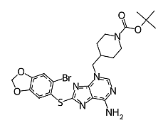 CC(C)(C)OC(=O)N1CCC(Cn2cnc(N)c3nc(Sc4cc5c(cc4Br)OCO5)nc2-3)CC1